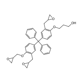 OCCCOc1ccc(C(c2ccccc2)(c2ccccc2)c2ccc(OCC3CO3)c(CC3CO3)c2)cc1CC1CO1